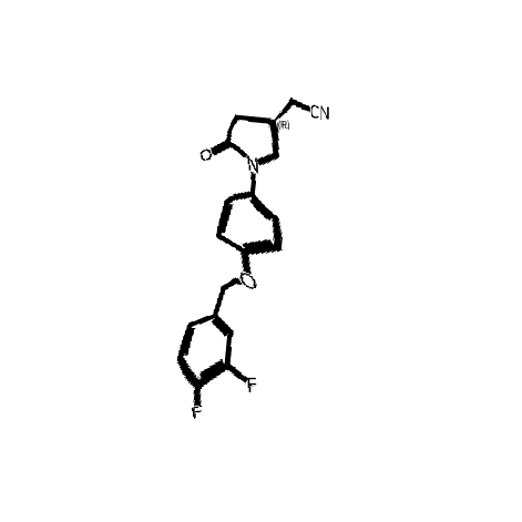 N#CC[C@@H]1CC(=O)N(c2ccc(OCc3ccc(F)c(F)c3)cc2)C1